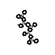 C[C@H]1C=C(N(C2=CC3c4cc(N(c5ccccc5)c5ccc6c(c5)c5ccccc5n6-c5ccccc5)ccc4N(c4ccccc4)C3C=C2)c2ccc3c(c2)c2ccccc2n3-c2ccccc2)C=CC1